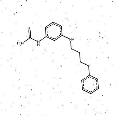 NC(=S)Nc1cccc(NCCCCc2ccccc2)c1